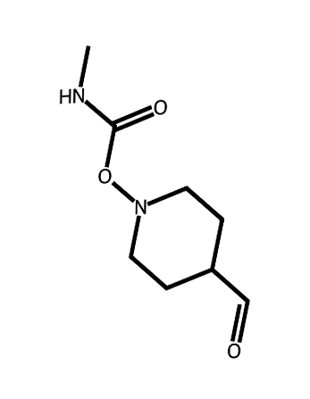 CNC(=O)ON1CCC(C=O)CC1